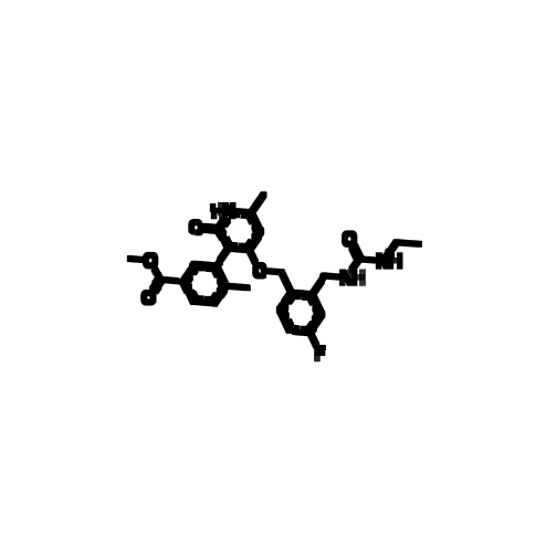 CCNC(=O)NCc1cc(F)ccc1COc1cc(C)[nH]c(=O)c1-c1cc(C(=O)OC)ccc1C